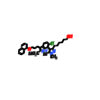 CCOC(=O)c1[nH]c2c(-c3c(CCCCCCO)nn(C)c3CC)c(Cl)ccc2c1CCCOc1cccc2ccccc12